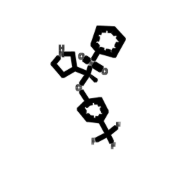 C[C@@](Oc1ccc(C(F)(F)F)cc1)(C1CCNC1)S(=O)(=O)c1ccccc1